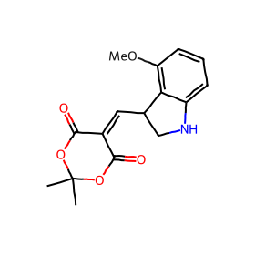 COc1cccc2c1C(C=C1C(=O)OC(C)(C)OC1=O)CN2